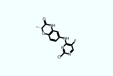 C[C@H]1Oc2ccc(Nc3nc(Cl)ncc3F)cc2NC1=O